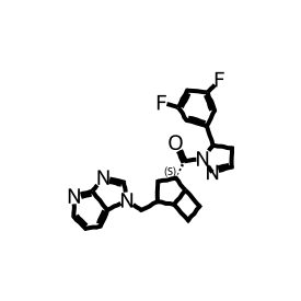 O=C([C@H]1CC(Cn2cnc3ncccc32)C2CCC21)N1N=CCC1c1cc(F)cc(F)c1